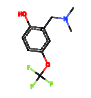 CN(C)Cc1cc(OC(F)(F)F)ccc1O